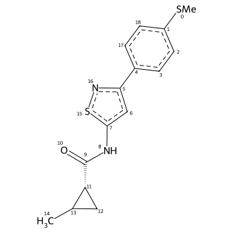 CSc1ccc(-c2cc(NC(=O)[C@@H]3CC3C)sn2)cc1